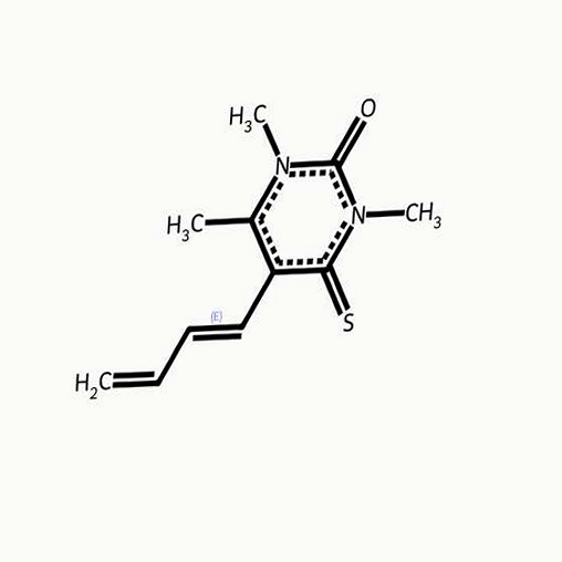 C=C/C=C/c1c(C)n(C)c(=O)n(C)c1=S